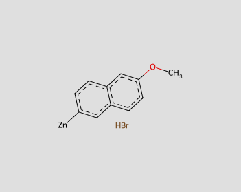 Br.COc1ccc2c[c]([Zn])ccc2c1